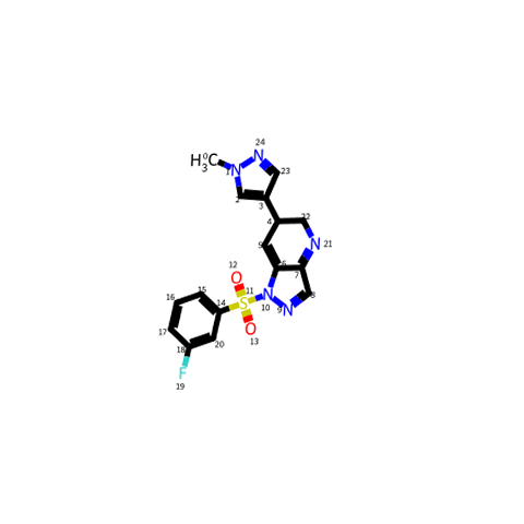 Cn1cc(C2C=c3c(cnn3S(=O)(=O)c3cccc(F)c3)=NC2)cn1